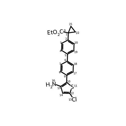 CCOC(=O)C1(c2ccc(-c3ccc(-c4sc(Cl)cc4N)cc3)cc2)CC1